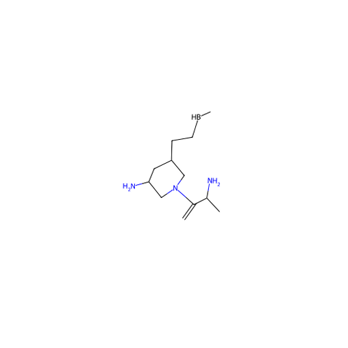 C=C(C(C)N)N1CC(N)CC(CCBC)C1